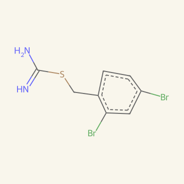 N=C(N)SCc1ccc(Br)cc1Br